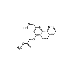 COC(=O)CSc1cc(/C=N\O)nc2c1ccc1cccnc12